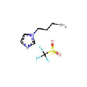 CCCCn1ccnc1.O=[SH](=O)C(F)(F)F